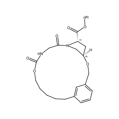 CCCOC(=O)[C@@H]1C[C@@H]2CN1C(=O)CNC(=O)OCCCCCc1cccc(c1)CO2